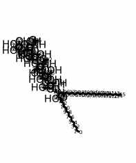 CCCCCCCCCCCCC/C=C/[C@@H](O)[C@H](CO[C@@H]1OC(CO)[C@@H](O[C@@H]2OC(CO)[C@H](O[C@@H]3OC(CO)[C@H](O)[C@H](O[C@@H]4OC(CO)[C@H](O)[C@H](O[C@@H]5OC(CO)[C@H](O[C@@H]6OC(CO)[C@H](O)[C@H](O)C6O)[C@H](O)C5NC(C)=O)C4O)C3NC(C)=O)[C@H](O)C2O)[C@H](O)C1O)NC(=O)CCCCCCCCCCCCCCCCCCCCC